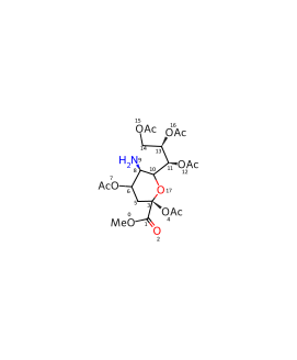 COC(=O)[C@]1(OC(C)=O)CC(OC(C)=O)[C@@H](N)C([C@H](OC(C)=O)[C@@H](COC(C)=O)OC(C)=O)O1